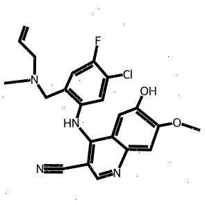 C=CCN(C)Cc1cc(F)c(Cl)cc1Nc1c(C#N)cnc2cc(OC)c(O)cc12